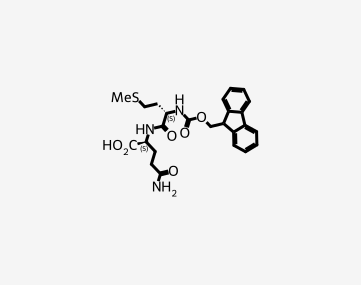 CSCC[C@H](NC(=O)OCC1c2ccccc2-c2ccccc21)C(=O)N[C@@H](CCC(N)=O)C(=O)O